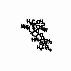 CC(C)(C)OC(=O)NC(C[C@@H](CN=[N+]=[N-])SSC(C)(C)C)C(=O)OCC#N